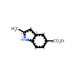 CCOC(=O)c1ccc2[nH]c(C)cc2c1